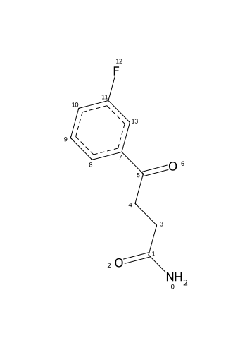 NC(=O)CCC(=O)c1cccc(F)c1